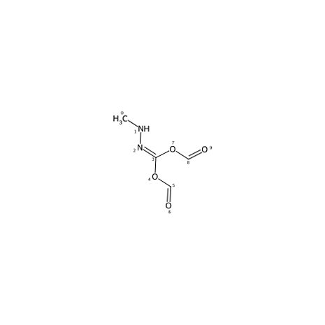 CNN=C(OC=O)OC=O